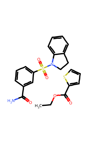 CCOC(=O)c1cccs1.NC(=O)c1cccc(S(=O)(=O)N2CCc3ccccc32)c1